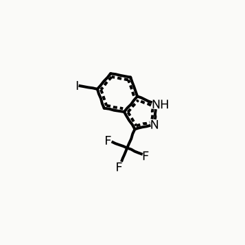 FC(F)(F)c1n[nH]c2ccc(I)cc12